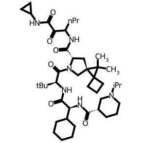 CCCC(NC(=O)[C@@H]1C[C@@]2(CN1C(=O)[C@@H](NC(=O)[C@@H](NC(=O)[C@H]1CCCN(C(C)C)C1)C1CCCCC1)C(C)(C)C)C(C)(C)C21CCC1)C(=O)C(=O)NC1CC1